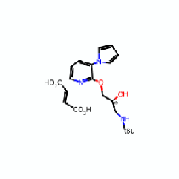 CC(C)(C)NC[C@H](O)COc1ncccc1-n1cccc1.O=C(O)C=CC(=O)O